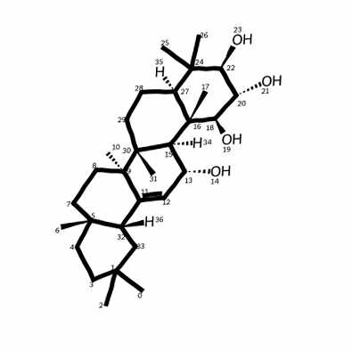 CC1(C)CC[C@]2(C)CC[C@]3(C)C(=C[C@@H](O)[C@@H]4[C@@]5(C)[C@H](O)[C@@H](O)[C@H](O)C(C)(C)[C@@H]5CC[C@]43C)[C@@H]2C1